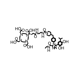 CCNC(=O)c1nnc(-c2cc(C(C)C)c(O)cc2O)n1-c1ccc(CC2CCN(C(=O)NCCNC(=O)CC[C@@H](C(=O)O)N3CCN(CC(=O)O)CCN(CC(=O)O)CCN(CC(=O)O)CC3)CC2)cc1